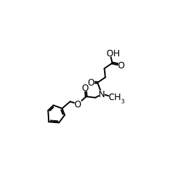 CN(CC(=O)OCc1ccccc1)C(=O)CCC(=O)O